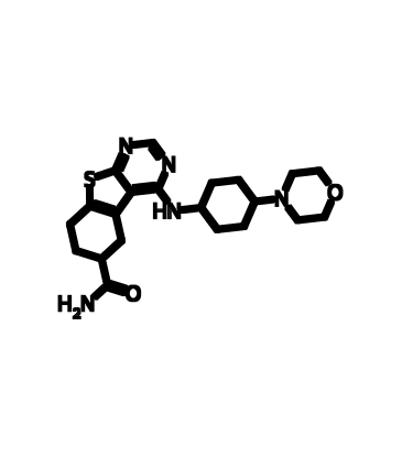 NC(=O)C1CCc2sc3ncnc(NC4CCC(N5CCOCC5)CC4)c3c2C1